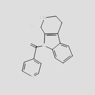 C[C@@H]1NCCc2c1n(C(=O)c1ccncc1)c1ccccc21